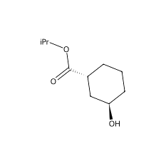 CC(C)OC(=O)[C@@H]1CCC[C@@H](O)C1